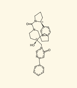 O=C(N1CC[C@@](O)(Cn2cnc(-c3ccccc3)cc2=O)C2(CCCC2)C1)N1CCC[C@H]1c1ccccc1